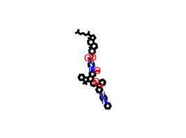 COc1cc2c3c(c4c(c2cc1N1CCN(C(=O)OC2CCC5(C)C(=CCC6C5CCC5(C)C(C(C)CCCC(C)C)CCC65)C2)CC1)-c1ccccc1C4(C)C)C=CC(c1ccccc1)(c1ccc(N2CCN(c4ccccc4)CC2)cc1)O3